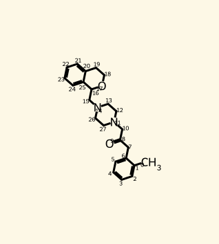 Cc1ccccc1CC(=O)CN1CCN(CC2OCCc3ccccc32)CC1